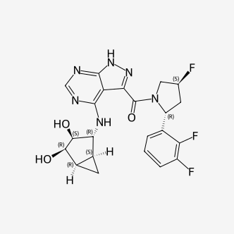 O=C(c1n[nH]c2ncnc(N[C@H]3[C@H](O)[C@H](O)[C@@H]4C[C@@H]43)c12)N1C[C@@H](F)C[C@@H]1c1cccc(F)c1F